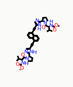 COC(=O)NC(C(=O)N1CCCC1c1ncc(C#Cc2cccc3c(C#Cc4cnc(C5CCCN5C(=O)C(NC(=O)OC)C(C)C)[nH]4)cccc23)[nH]1)C(C)C